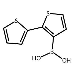 OB(O)c1ccsc1-c1cccs1